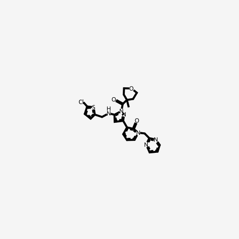 CC1(C(=O)n2nc(-c3cccn(Cc4ncccn4)c3=O)cc2NCc2ccc(Cl)s2)CCOCC1